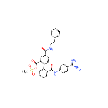 CS(=O)(=O)OC(=O)c1cc(C(=O)NCCc2ccccc2)ccc1-c1ccccc1C(=O)Nc1ccc(C(=N)N)cc1